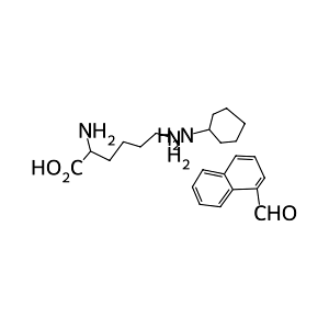 NC1CCCCC1.NCCCCC(N)C(=O)O.O=Cc1cccc2ccccc12